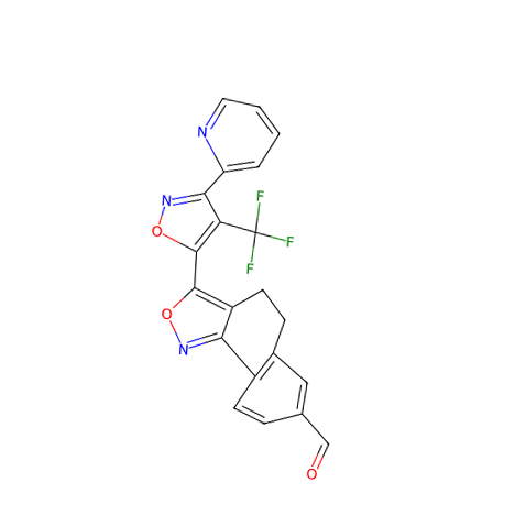 O=Cc1ccc2c(c1)CCc1c-2noc1-c1onc(-c2ccccn2)c1C(F)(F)F